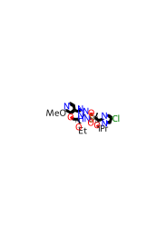 CCOC[C@H]1COc2c(ccnc2OC)-c2nnc(NS(=O)(=O)[C@@H](C)[C@@H](OC(C)C)c3ncc(Cl)cn3)n21